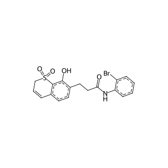 O=C(CCc1ccc2c(c1O)S(=O)(=O)CC=C2)Nc1ccccc1Br